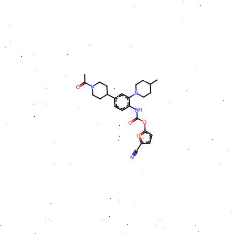 CC(=O)N1CCC(c2ccc(NC(=O)Oc3ccc(C#N)o3)c(N3CCC(C)CC3)c2)CC1